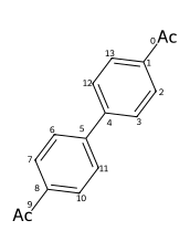 [CH2]C(=O)c1ccc(-c2ccc(C([CH2])=O)cc2)cc1